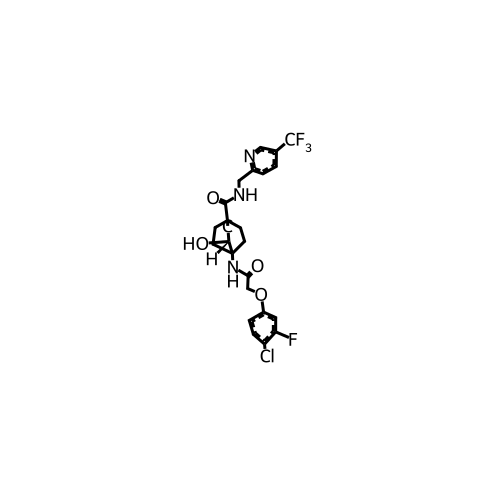 O=C(COc1ccc(Cl)c(F)c1)NC12CCC(C(=O)NCc3ccc(C(F)(F)F)cn3)(CC1)C[C@H]2O